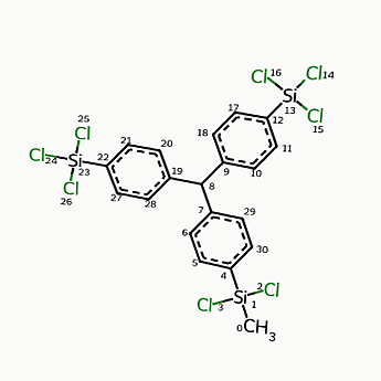 C[Si](Cl)(Cl)c1ccc(C(c2ccc([Si](Cl)(Cl)Cl)cc2)c2ccc([Si](Cl)(Cl)Cl)cc2)cc1